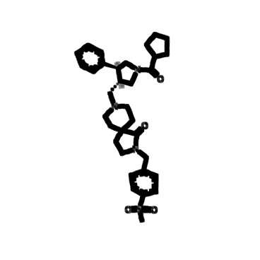 CS(=O)(=O)c1ccc(CN2CCC3(CCN(C[C@H]4CN(C(=O)C5CCCC5)C[C@@H]4c4ccccc4)CC3)C2=O)cc1